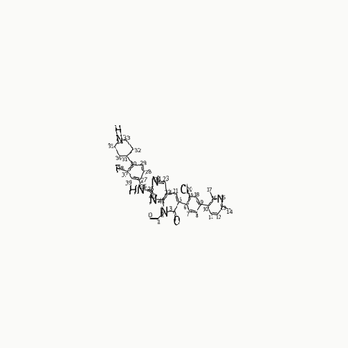 CCn1c(=O)c(-c2ccc(-c3ccc(C)nc3C)cc2Cl)cc2cnc(Nc3ccc(C4CCNCC4)c(F)c3)nc21